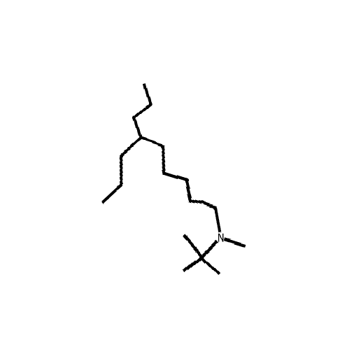 CCCC(CCC)CCCCCN(C)C(C)(C)C